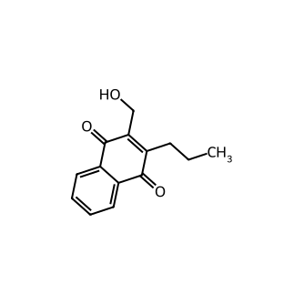 CCCC1=C(CO)C(=O)c2ccccc2C1=O